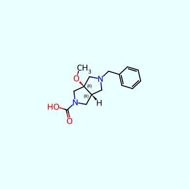 CO[C@@]12CN(Cc3ccccc3)C[C@@H]1CN(C(=O)O)C2